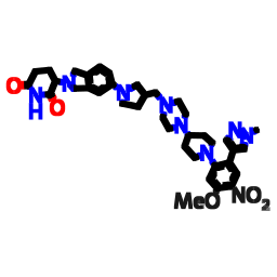 COc1cc(N2CCC(N3CCN(CC4CCN(c5ccc6c(c5)CN(C5CCC(=O)NC5=O)C6)C4)CC3)CC2)c(-c2cnn(C)c2)cc1[N+](=O)[O-]